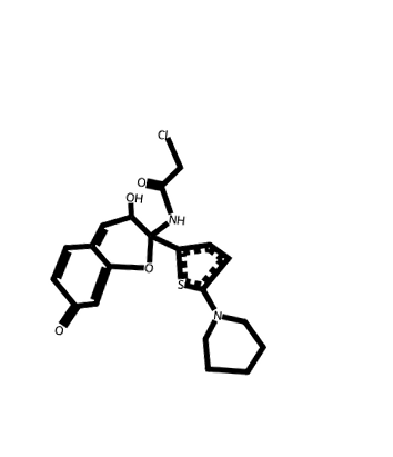 O=C1C=CC2=CC(O)C(NC(=O)CCl)(c3ccc(N4CCCCC4)s3)OC2=C1